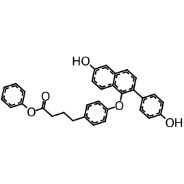 O=C(CCCc1ccc(Oc2c(-c3ccc(O)cc3)ccc3cc(O)ccc23)cc1)Oc1ccccc1